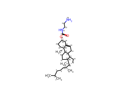 CC(C)CCC[C@@H](C)[C@H]1CCC2C3CC=C4C[C@@H](OC(=O)NCCN)CC[C@]4(C)C3CC[C@@]21C